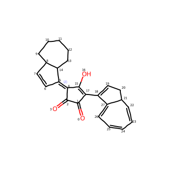 O=C1C(=O)/C(=C2\C=CC3CCCCCC23)C(O)=C1C1=CCC2C=CC=CC=C12